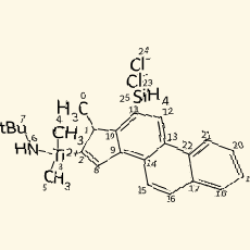 CC1[C]([Ti+2]([CH3])([CH3])[NH]C(C)(C)C)=Cc2c1ccc1c2ccc2ccccc21.[Cl-].[Cl-].[SiH4]